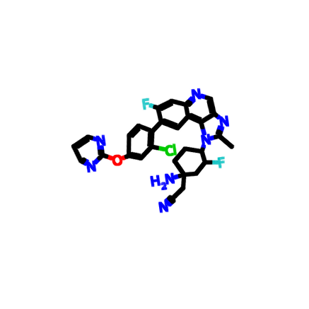 Cc1nc2cnc3cc(F)c(-c4ccc(Oc5ncccn5)cc4Cl)cc3c2n1C1CCC(N)(CC#N)CC1F